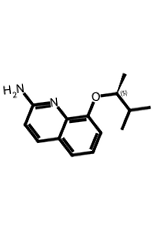 CC(C)[C@H](C)Oc1cccc2ccc(N)nc12